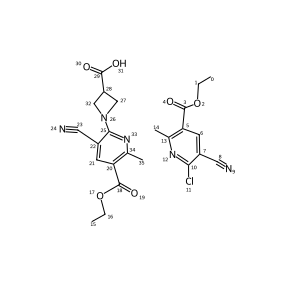 CCOC(=O)c1cc(C#N)c(Cl)nc1C.CCOC(=O)c1cc(C#N)c(N2CC(C(=O)O)C2)nc1C